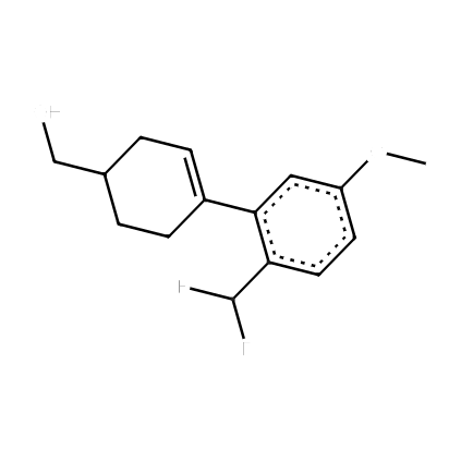 COc1ccc(C(F)F)c(C2=CCC(CO)CC2)c1